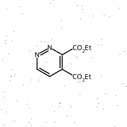 CCOC(=O)c1ccnnc1C(=O)OCC